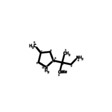 COC(C)(CN)N1CC(C)C[SiH2]1